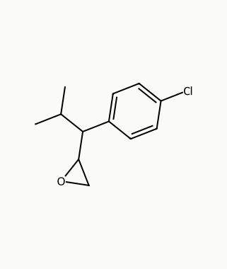 CC(C)C(c1ccc(Cl)cc1)C1CO1